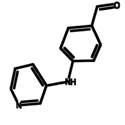 O=Cc1ccc(Nc2cccnc2)cc1